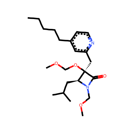 CCCCCc1ccnc(C[C@]2(OCOC)C(=O)N(COC)[C@H]2CC(C)C)c1